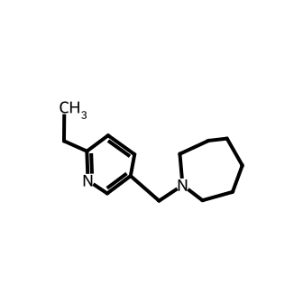 CCc1ccc(CN2CCCCCC2)cn1